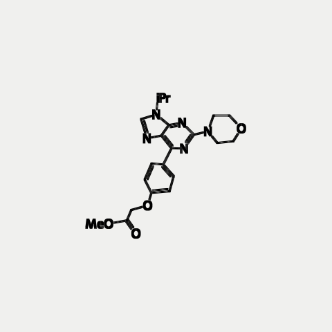 COC(=O)COc1ccc(-c2nc(N3CCOCC3)nc3c2ncn3C(C)C)cc1